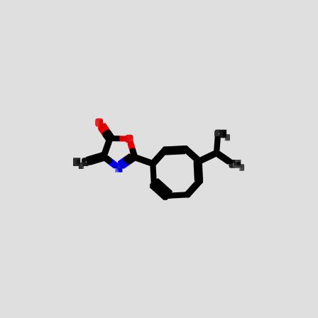 C=C1N=C(C2C#CC/C=C(C(C)C)\C=C/2)OC1=O